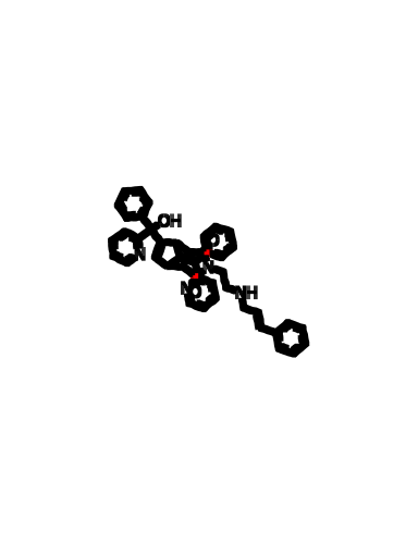 O=C1C2C3C=C(C(O)(c4ccccc4)c4ccccn4)C(C3=C(c3ccccc3)c3ccccn3)C2C(=O)N1CCNCC=Cc1ccccc1